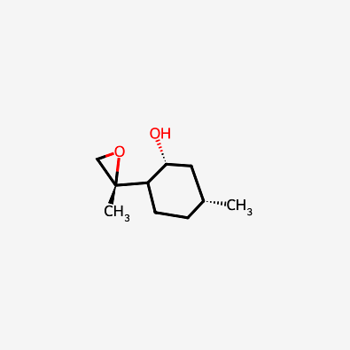 C[C@@H]1CCC([C@]2(C)CO2)[C@H](O)C1